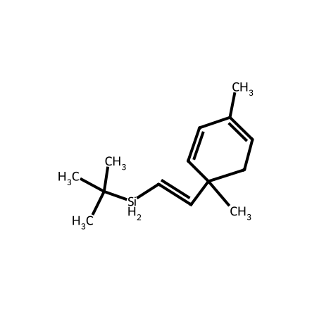 CC1=CCC(C)(C=C[SiH2]C(C)(C)C)C=C1